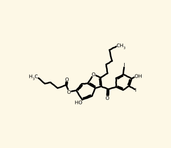 CCCCCc1oc2cc(OC(=O)CCCC)c(O)cc2c1C(=O)c1cc(I)c(O)c(I)c1